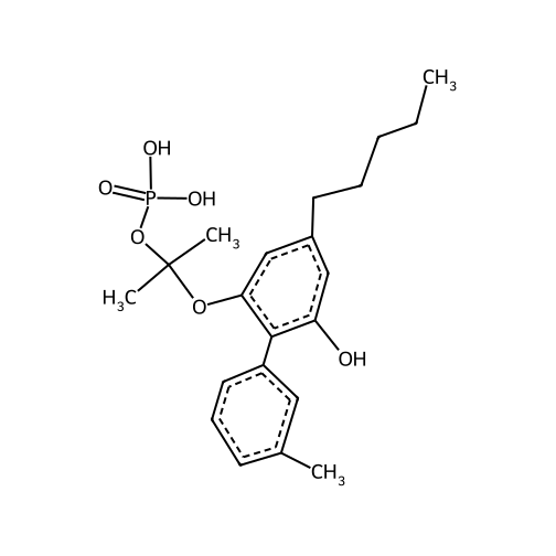 CCCCCc1cc(O)c(-c2cccc(C)c2)c(OC(C)(C)OP(=O)(O)O)c1